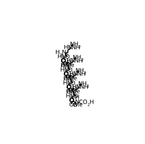 COc1ccc(NC(=O)[C@@H](CCCNC(=N)N)NC(=O)c2cc(NC(=O)[C@@H](CCCNC(=N)N)NC(=O)c3cc(NC(=O)[C@@H](CCCNC(=N)N)NC(=O)c4cc(NC(=O)[C@H](N)CCCNC(=N)N)ccc4OC)ccc3OC)ccc2OC)cc1C(=O)NCC(=O)O